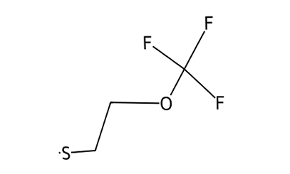 FC(F)(F)OCC[S]